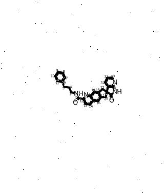 O=C(NCCCc1ccccc1)c1ccc2cc3c(cc2n1)CC1(C3)C(=O)Nc2ncccc21